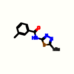 CCCCc1nnc(NC(=O)c2cccc(C)c2)s1